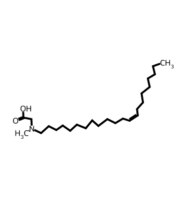 CCCCCCCC/C=C\CCCCCCCCCCCCN(C)CC(=O)O